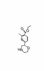 CCOC(=O)c1ccc(C2CNCCO2)nc1C